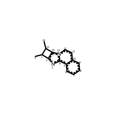 CC1c2nc3c4ccccc4ccn3c2C1C